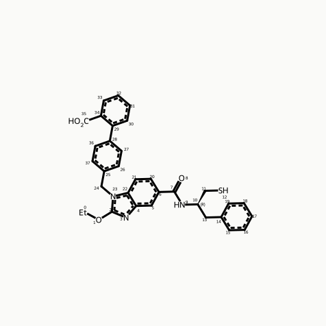 CCOc1nc2cc(C(=O)N[C@@H](CS)Cc3ccccc3)ccc2n1Cc1ccc(-c2ccccc2C(=O)O)cc1